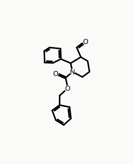 O=CC1CCCN(C(=O)OCc2ccccc2)C1c1ccccc1